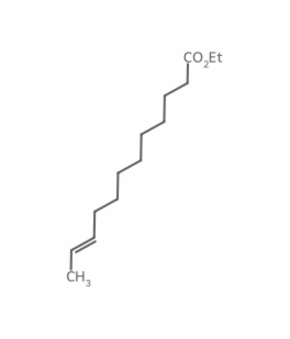 CC=CCCCCCCCCC(=O)OCC